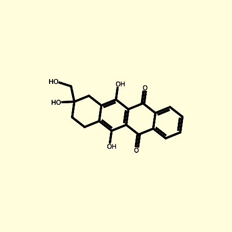 O=C1c2ccccc2C(=O)c2c(O)c3c(c(O)c21)CCC(O)(CO)C3